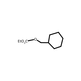 CCOC(=O)O[CH]C1CCCCC1